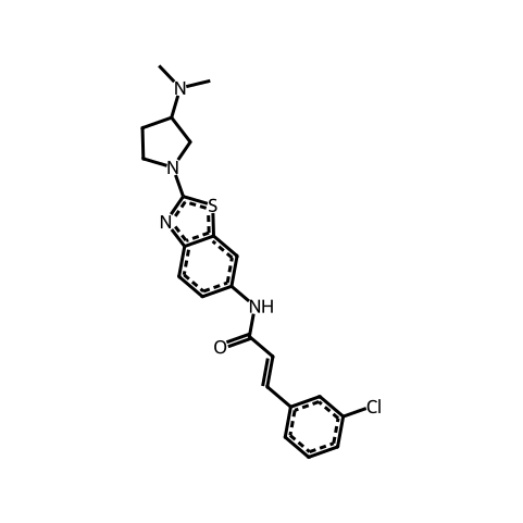 CN(C)C1CCN(c2nc3ccc(NC(=O)C=Cc4cccc(Cl)c4)cc3s2)C1